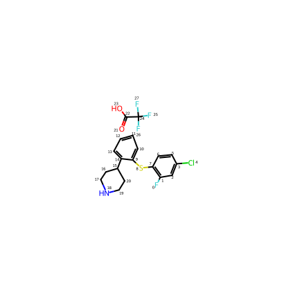 Fc1cc(Cl)ccc1Sc1ccccc1C1CCNCC1.O=C(O)C(F)(F)F